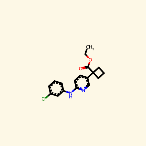 CCOC(=O)C1(c2ccc(Nc3cccc(Cl)c3)nc2)CCC1